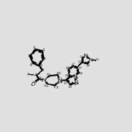 C[C@@H](Cc1ccccc1)C(=O)N1CCN(c2cnn3cc(-c4cnn(C)c4)ccc23)CC1